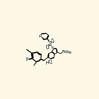 CNCc1cn(S(=O)(=O)c2cccnc2)c2cc(Cc3ccc(C)c(F)c3F)ccc12.Cl